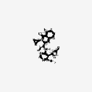 CC[C@H](Nc1ncnc(N)c1-c1nc(C)no1)c1cc2cccc(F)c2c(=O)n1C1CC1